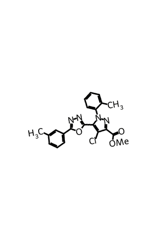 COC(=O)c1nn(-c2ccccc2C)c(-c2nnc(-c3cccc(C)c3)o2)c1Cl